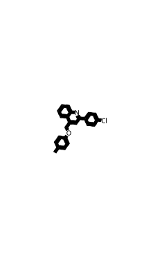 Cc1ccc(OCc2cc(-c3ccc(Cl)cc3)nc3ccccc23)cc1